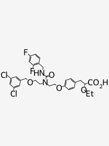 CCOC(Cc1ccc(OCCN(CCOCc2cc(Cl)cc(Cl)c2)C(=O)NCc2ccc(F)cc2F)cc1)C(=O)O